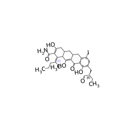 CCC/C(C)=C1\C(C(N)=O)=C(O)CC2CC3Cc4c(I)cc(C[C@H](C=O)CC)c(O)c4C(=O)C3=C(O)C12